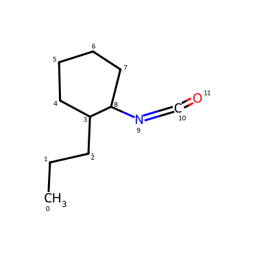 CC[CH]C1CCCCC1N=C=O